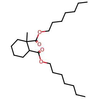 CCCCCCCOC(=O)C1CCCCC1(C)C(=O)OCCCCCCC